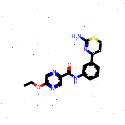 CCOc1cnc(C(=O)Nc2cccc(C3CCSC(N)=N3)c2)cn1